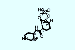 O=C(N[C@@H]1CCNC[C@H]1F)[C@@H]1CC[C@@H]2CN1C(=O)N2OS(=O)(=O)O